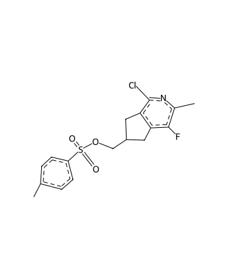 Cc1ccc(S(=O)(=O)OCC2Cc3c(Cl)nc(C)c(F)c3C2)cc1